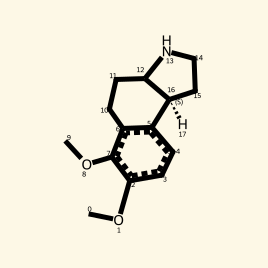 COc1ccc2c(c1OC)CCC1NCC[C@@H]21